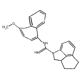 COc1ccc(NC(=N)N2CC3CCCc4cccc2c43)c2ccccc12